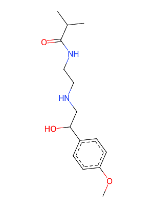 COc1ccc(C(O)CNCCNC(=O)C(C)C)cc1